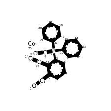 O=C=c1cccc(P(=C=O)(c2ccccc2)c2ccccc2)c1=C=O.[Co]